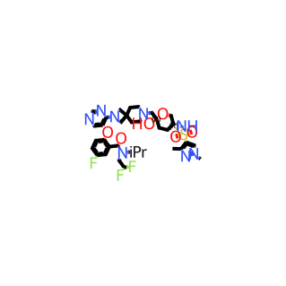 Cc1nn(C)cc1S(=O)(=O)N[C@@H]1CC[C@](O)(CN2CCC3(CC2)CN(c2ncncc2Oc2ccc(F)cc2C(=O)N(CC(F)F)C(C)C)C3)OC1